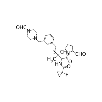 CC(C)(SCc1cccc(CN2CCN(C=O)CC2)c1)C(NC(=O)C1(F)CC1)C(=O)N1CCCC1C=O